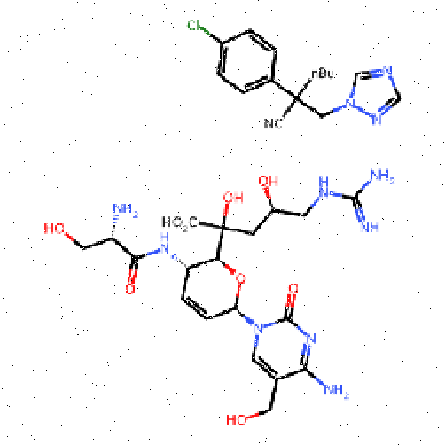 CCCCC(C#N)(Cn1cncn1)c1ccc(Cl)cc1.N=C(N)NC[C@H](O)C[C@](O)(C(=O)O)[C@H]1O[C@@H](n2cc(CO)c(N)nc2=O)C=C[C@@H]1NC(=O)[C@@H](N)CO